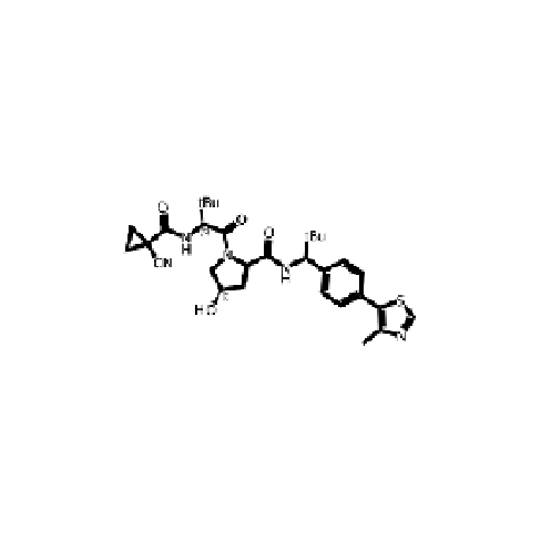 Cc1ncsc1-c1ccc(C(NC(=O)C2C[C@@H](O)CN2C(=O)[C@@H](NC(=O)C2(C#N)CC2)C(C)(C)C)C(C)(C)C)cc1